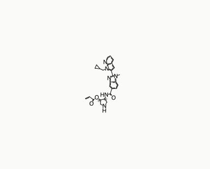 C=CC(=O)O[C@@H]1CNC[C@@H]1NC(=O)c1ccc2c(c1)nc(-c1cc3cccnc3n1CC1CC1)n2C